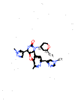 CC[C@H]1C[C@@H](n2c(=O)nc(-c3cnn(C)c3)c3oc4c(C)nc(-c5cn(CC)cn5)cc4c32)CCO1